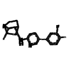 Cc1ccc(-c2ccc(NC3C4CCN(CC4)C3C)nc2)cc1F